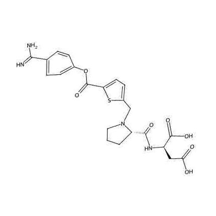 N=C(N)c1ccc(OC(=O)c2ccc(CN3CCC[C@H]3C(=O)N[C@H](CC(=O)O)C(=O)O)s2)cc1